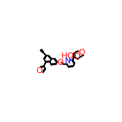 C#Cc1cc(-c2ccoc2)c2ccc(OCc3cccc(C4(O)CC5COC(C4)O5)n3)cc2c1